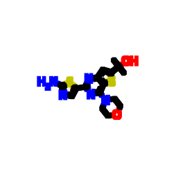 CC(C)(O)c1cc2nc(-c3cnc(N)s3)nc(N3CCOCC3)c2s1